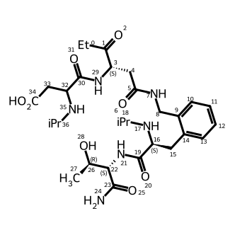 CCC(=O)[C@H](CC(=O)NCc1ccccc1C[C@H](NC(C)C)C(=O)N[C@H](C(N)=O)[C@@H](C)O)NC(=O)C(CC(=O)O)NC(C)C